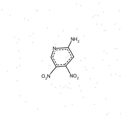 Nc1cc([N+](=O)[O-])c([N+](=O)[O-])cn1